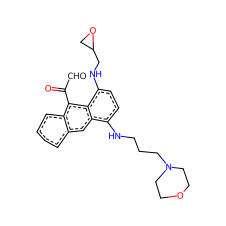 O=CC(=O)c1c2ccccc2cc2c(NCCCN3CCOCC3)ccc(NCC3CO3)c12